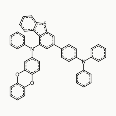 c1ccc(N(c2ccccc2)c2ccc(-c3cc(N(c4ccccc4)c4ccc5c(c4)Oc4ccccc4O5)c4c(c3)sc3ccccc34)cc2)cc1